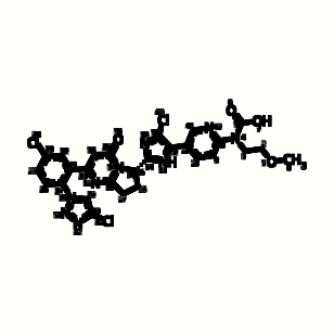 COCCN(C(=O)O)c1ccc(-c2[nH]c([C@@H]3CCc4nc(-c5cc(Cl)ccc5-n5cc(Cl)nn5)cc(=O)n43)nc2Cl)cn1